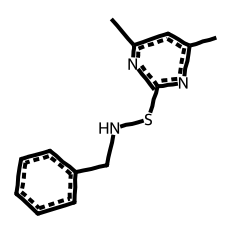 Cc1cc(C)nc(SNCc2ccccc2)n1